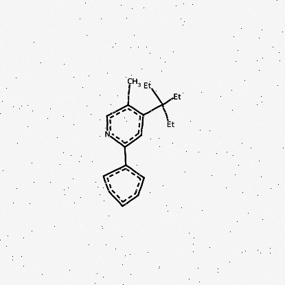 CCC(CC)(CC)c1cc(-c2ccccc2)ncc1C